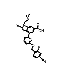 COCCn1c(Br)nc2c(-c3cccc(OCc4ccc(C#N)cc4F)n3)cc(C(=O)O)cc21